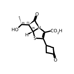 C[C@@H](O)[C@H]1C(=O)N2C(C(=O)O)=C(C3CC(=O)C3)S[C@H]12